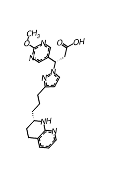 COc1ncc([C@H](CC(=O)O)n2ccc(CCC[C@H]3CCc4cccnc4N3)n2)cn1